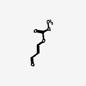 COC(=O)OC=CC=O